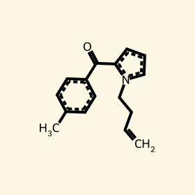 C=CCCn1cccc1C(=O)c1ccc(C)cc1